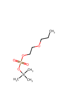 CCCOCCOS(=O)(=O)O[Si](C)(C)C